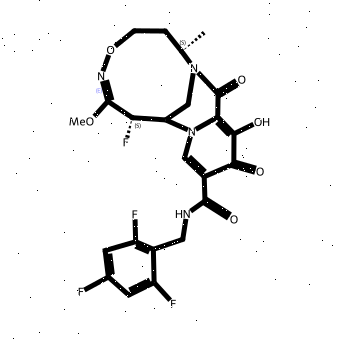 CO/C1=N/OCC[C@H](C)N2CC([C@@H]1F)n1cc(C(=O)NCc3c(F)cc(F)cc3F)c(=O)c(O)c1C2=O